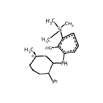 CC(C)C1CC[C@@H](C)CC1Pc1cccc([Si](C)(C)C)c1O